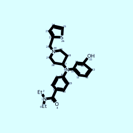 CCN(CC)C(=O)c1ccc(N(c2cccc(O)c2)C2CCN(Cc3cccs3)CC2)cc1